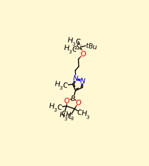 Cc1c(B2OC(C)(C)C(C)(C)O2)cnn1CCCO[Si](C)(C)C(C)(C)C